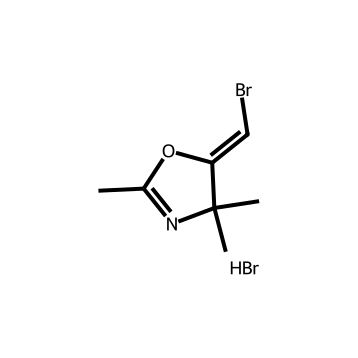 Br.CC1=NC(C)(C)C(=CBr)O1